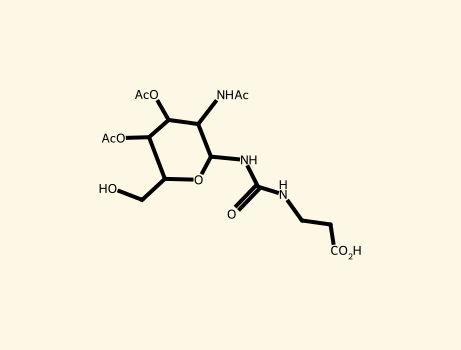 CC(=O)NC1C(NC(=O)NCCC(=O)O)OC(CO)C(OC(C)=O)C1OC(C)=O